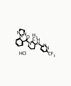 C[C@H]1C(Nc2ccc(C(F)(F)F)nn2)CCCN1C(=O)c1ccccc1-n1nccn1.Cl